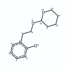 Clc1ncccc1CCOC1CCCCO1